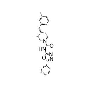 Cc1cccc(/C=C2\CCN(C(=O)Nc3nnc(-c4ccccc4)o3)CC2C)c1